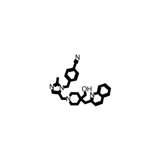 Cc1ncc(CN2CCC(CO)(Cc3ccc4ccccc4n3)CC2)n1Cc1ccc(C#N)cc1